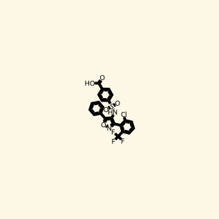 O=C(O)c1ccc(S(=O)(=O)Nc2c(-c3c(Cl)cccc3C(F)(F)F)noc2-c2ccccc2)cc1